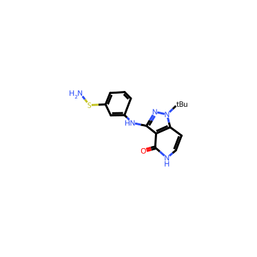 CC(C)(C)n1nc(Nc2cccc(SN)c2)c2c(=O)[nH]ccc21